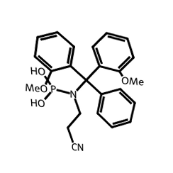 COc1ccccc1C(c1ccccc1)(c1ccccc1OC)N(CCC#N)P(O)O